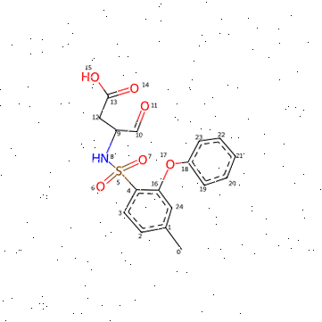 Cc1ccc(S(=O)(=O)NC(C=O)CC(=O)O)c(Oc2ccccc2)c1